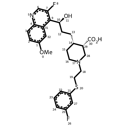 COc1ccc2ncc(F)c([C@@H](O)CC[C@H]3CCN(CCSc4cccc(F)c4)C[C@H]3C(=O)O)c2c1